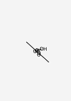 CCCCCCCCCCCCCCCC(=O)OCC(COC(=O)CCCCCCCCCCCCCCC)OC(=O)C(C)CCCO